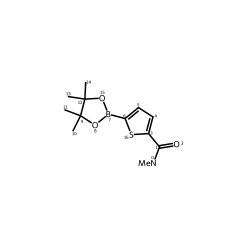 CNC(=O)c1ccc(B2OC(C)(C)C(C)(C)O2)s1